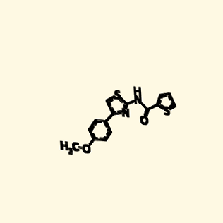 COc1ccc(-c2csc(NC(=O)c3cccs3)n2)cc1